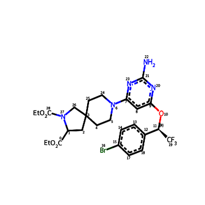 CCOC(=O)C1CC2(CCN(c3cc(O[C@H](c4ccc(Br)cc4)C(F)(F)F)nc(N)n3)CC2)CN1C(=O)OCC